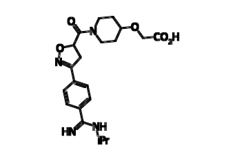 CC(C)NC(=N)c1ccc(C2=NOC(C(=O)N3CCC(OCC(=O)O)CC3)C2)cc1